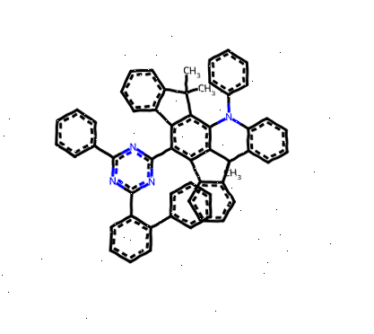 CC1(C)c2ccccc2-c2c(-c3nc(-c4ccccc4)nc(-c4ccccc4-c4ccccc4)n3)c3c4c(c21)N(c1ccccc1)c1ccccc1C4(C)c1ccccc1-3